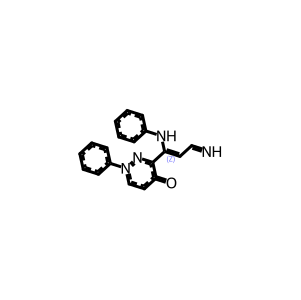 N=C/C=C(\Nc1ccccc1)c1nn(-c2ccccc2)ccc1=O